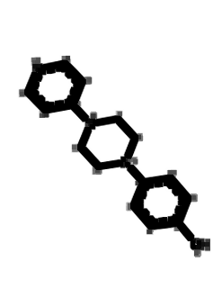 Oc1ccc(N2CCN(c3ccncc3)CC2)cc1